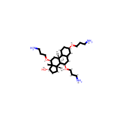 CC12[C@@H](OCCCN)C[C@H]3C([C@H](OCCCN)CC4C[C@H](OCCCN)CC[C@@]43C)[C@@H]1CC[C@@H]2O